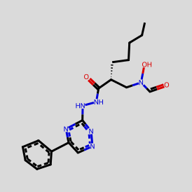 CCCCC[C@H](CN(O)C=O)C(=O)NNc1nncc(-c2ccccc2)n1